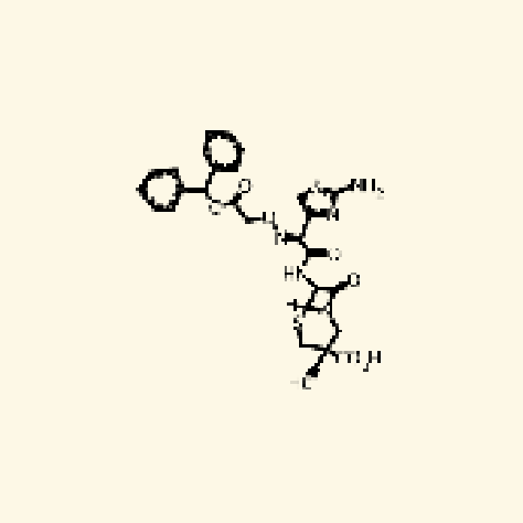 C#CC1(C(=O)O)CS[C@@H]2C(NC(=O)C(=NOCC(=O)OC(c3ccccc3)c3ccccc3)c3csc(N)n3)C(=O)N2C1